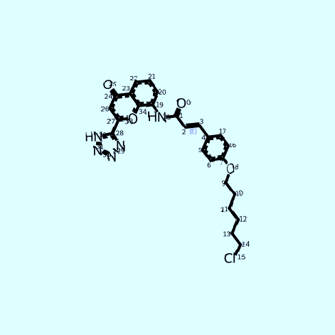 O=C(/C=C/c1ccc(OCCCCCCCl)cc1)Nc1cccc2c(=O)cc(-c3nnn[nH]3)oc12